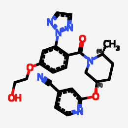 C[C@@H]1CC[C@@H](Oc2cc(C#N)ccn2)CN1C(=O)c1ccc(OCCO)cc1-n1nccn1